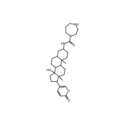 CC12CCC(NC(=O)N3CCCNCC3)CC1CCC1C2CCC2(C)C(c3ccc(=O)oc3)CCC12O